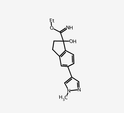 CCOC(=N)C1(O)CCc2cc(-c3cnn(C)c3)ccc21